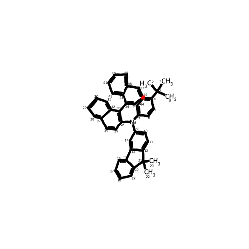 CC(C)(C)c1ccc(N(c2ccc3c(c2)-c2ccccc2C3(C)C)c2ccc3ccccc3c2-c2cccc3ccccc23)cc1